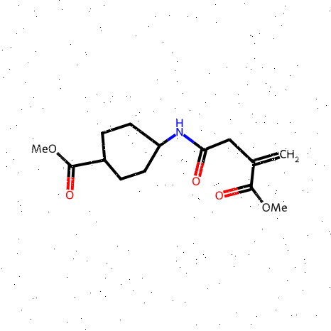 C=C(CC(=O)NC1CCC(C(=O)OC)CC1)C(=O)OC